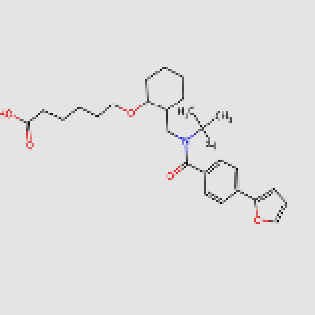 [2H]C(C)(C)N(CC1CCCCC1OCCCCCC(=O)O)C(=O)c1ccc(-c2ccco2)cc1